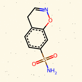 NS(=O)(=O)c1ccc2c(c1)ON=CC2